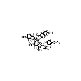 CCC(C)C(OC(=O)[C@H](Cc1ccc(OC)cc1)N(C)C)C(=O)N[C@H](C(=O)N(C)[C@@H](Cc1ccc(O)cc1)C(=O)N(C)[C@@H](Cc1ccc(O)cc1)C(=O)OC)C(C)C